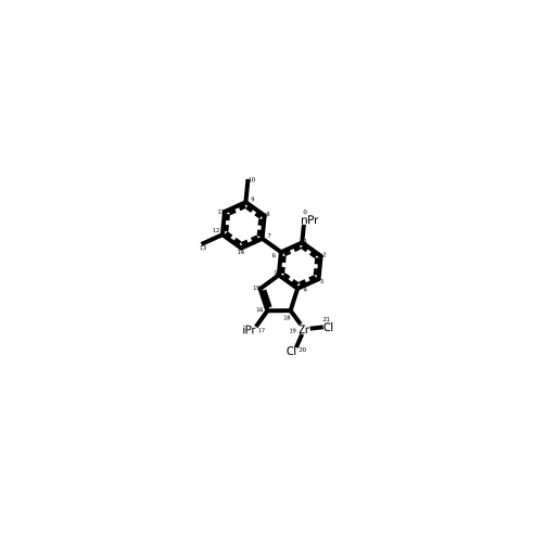 CCCc1ccc2c(c1-c1cc(C)cc(C)c1)C=C(C(C)C)[CH]2[Zr]([Cl])[Cl]